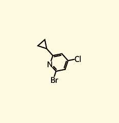 Clc1cc(Br)nc(C2CC2)c1